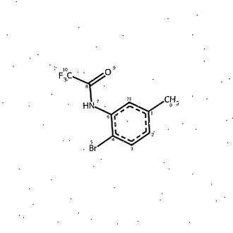 Cc1ccc(Br)c(NC(=O)C(F)(F)F)c1